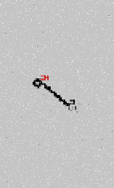 CC(C)CCCCCCCCCCc1ccccc1O